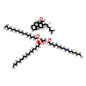 CC(C)CCC[C@@H](C)[C@H]1CC(=O)[C@H]2C3=CCC4CCCC[C@]4(C)[C@H]3CC[C@@]21C.CCCCCCCC/C=C/CCCCCCCC(=O)OCC(COC(=O)CCCCCCC/C=C/CCCCCCCC)OC(=O)CCCCCCC/C=C/CCCCCCCC